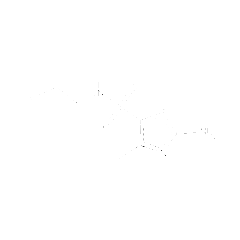 Cc1nc(N)sc1S(=O)(=O)NCCO